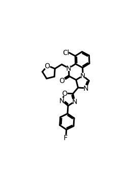 O=C1C2C(c3nc(-c4ccc(F)cc4)no3)N=CN2c2cccc(Cl)c2N1CC1CCCO1